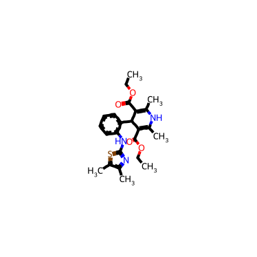 CCOC(=O)C1=C(C)NC(C)=C(C(=O)OCC)C1c1ccccc1Nc1nc(C)c(C)s1